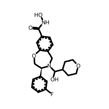 O=C(NO)c1ccc2c(c1)OC[C@H](c1cccc(F)c1)N(C(O)C1CCOCC1)C2